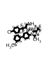 CSc1cccc(-c2ccc(-n3cc(C(F)(F)F)nc3C)c(N(N)/C(=C\N)C(F)(F)c3ccc(Cl)cc3)c2)c1